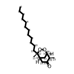 CCCCCCCCCCCC[C@]1(C)OO[C@@H]2C[C@H]1CC(=O)[C@@H]2C